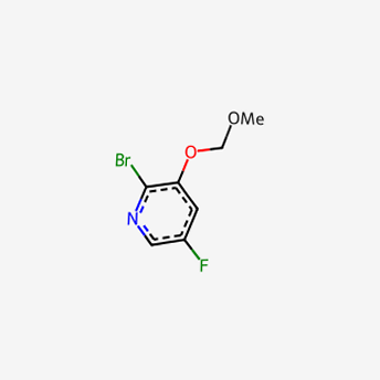 COCOc1cc(F)cnc1Br